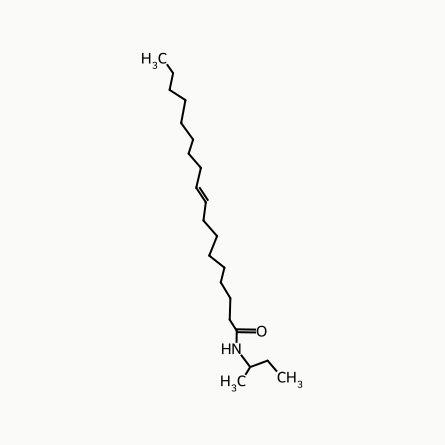 CCCCCCCCC=CCCCCCCCC(=O)NC(C)CC